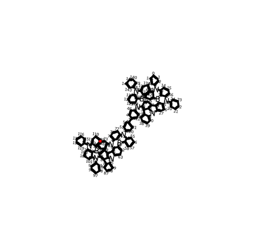 c1ccc(N2c3ccccc3B3c4c2cccc4N(c2ccccc2)c2ccc4c(c23)c2cc3c(c5c6ccccc6n4c25)N(c2ccc(-c4ccc(N5c6ccccc6B6c7ccc8c(c7N(c7ccccc7)c7cccc5c76)c5cc6c(c7c9ccccc9n8c57)N(c5ccccc5)c5cccc7c5B6c5ccccc5N7c5ccccc5)cc4)cc2)c2cccc4c2B3c2ccccc2N4c2ccccc2)cc1